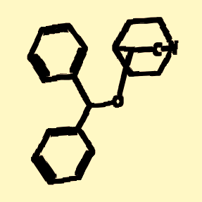 c1ccc(C(OC2CN3CCC2CC3)c2ccccc2)cc1